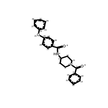 O=C(NC1CCN(C(=O)c2ccccc2)CC1)c1ccc(Oc2ccccc2)cc1